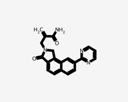 C=C(CN1Cc2c(ccc3ccc(-c4ncccn4)cc23)C1=O)C(N)=O